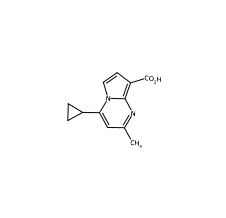 Cc1cc(C2CC2)n2ccc(C(=O)O)c2n1